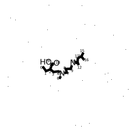 CCC(CCN(C)CCC/N=C(\C)CC(C)C)C(=O)O